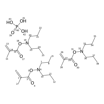 C=C(C)C(=O)ON(CCC)CCC.C=C(C)C(=O)ON(CCC)CCC.C=C(C)C(=O)ON(CCC)CCC.O=P(O)(O)O